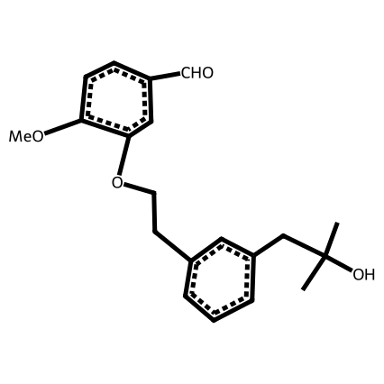 COc1ccc(C=O)cc1OCCc1cccc(CC(C)(C)O)c1